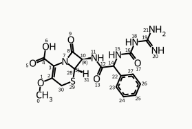 COC1=C(C(=O)O)N2C(=O)[C@@H](NC(=O)C(NC(=O)NC(=N)N)c3ccccc3)[C@@H]2SC1